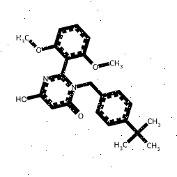 COc1cccc(OC)c1-c1nc(O)cc(=O)n1Cc1ccc(C(C)(C)C)cc1